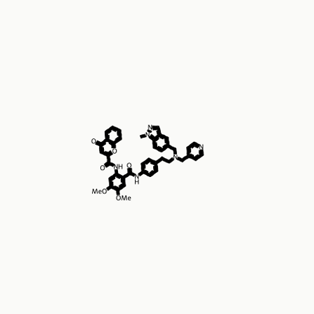 COc1cc(NC(=O)c2cc(=O)c3ccccc3o2)c(C(=O)Nc2ccc(CCN(Cc3ccncc3)Cc3ccc4c(cnn4C)c3)cc2)cc1OC